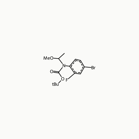 COC(C)N(C(=O)OC(C)(C)C)c1ccc(Br)cc1F